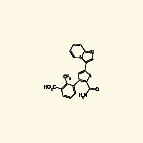 NC(=O)c1sc(-c2cnc3ccccn23)cc1-c1cccc(C(=O)O)c1C(F)(F)F